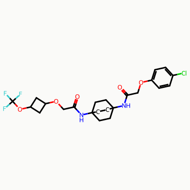 O=C(COc1ccc(Cl)cc1)NC12CCC(NC(=O)COC3CC(OC(F)(F)F)C3)(CC1)CC2